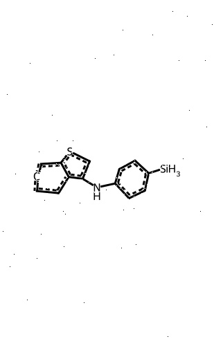 [SiH3]c1ccc(Nc2csc3ccccc23)cc1